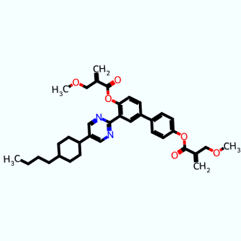 C=C(COC)C(=O)Oc1ccc(-c2ccc(OC(=O)C(=C)COC)c(-c3ncc(C4CCC(CCCC)CC4)cn3)c2)cc1